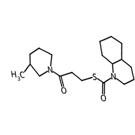 CC1CCCN(C(=O)CCSC(=O)N2CCCC3CCCCC32)C1